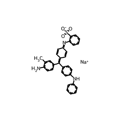 Cc1cc(C(=C2C=CC(=Nc3ccccc3S(=O)(=O)[O-])C=C2)c2ccc(Nc3ccccc3)cc2)ccc1N.[Na+]